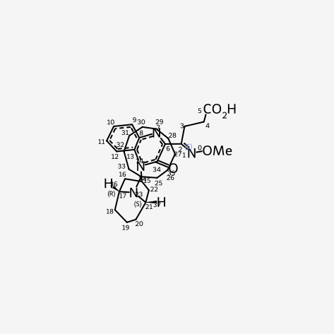 CO/N=C(\CCC(=O)O)c1nc2ccccc2n(C2C[C@H]3CCC[C@@H](C2)N3C2CCCCCCCCC2)c1=O